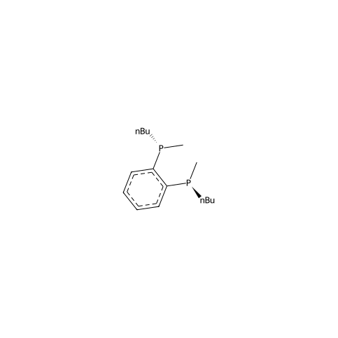 CCCC[P@](C)c1ccccc1[P@@](C)CCCC